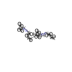 CC[C@H](OC)[C@@H](C)[C@H]1O[C@@H]1[C@H](O)[C@@H](C)/C=C/C=C(\C)[C@@H]1O[C@@H](OC)C[C@H](OCCC[C@H](OC)[C@@H](C)[C@H]2O[C@@H]2[C@H](O)[C@@H](C)/C=C/C=C(\C)[C@@H]2O[C@@H](OC)C[C@H](OC)[C@H]2OC)[C@@H]1OC